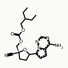 CCC(CC)COC(=O)OC[C@]1(C#N)CCC(c2ccc3c(N)ncnn23)O1